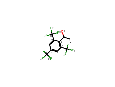 CC([O])c1c(C(F)(F)F)cc(C(F)(F)F)cc1C(F)(F)F